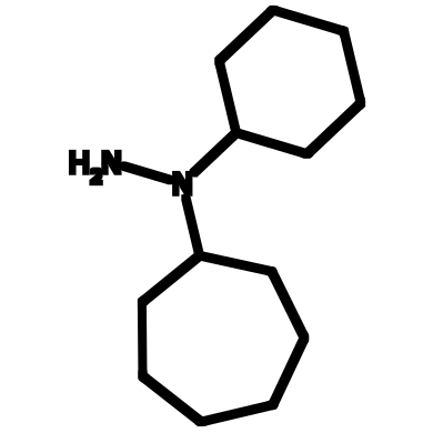 NN(C1CCCCCC1)C1CCCCC1